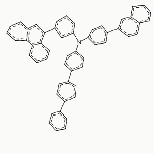 c1ccc(-c2ccc(-c3ccc(N(c4ccc(-c5ccc6ccccc6c5)cc4)c4cccc(-c5cc6ccccc6c6ccccc56)c4)cc3)cc2)cc1